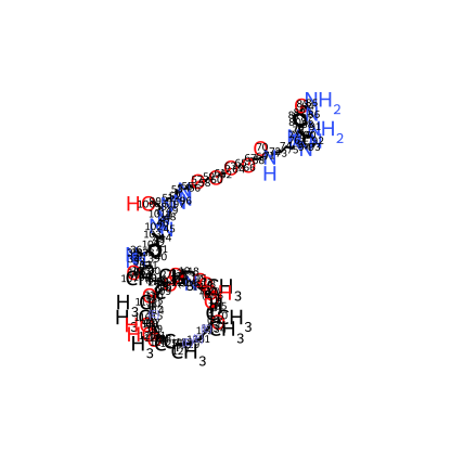 CO[C@H]1C[C@@H]2CC[C@@H](C)[C@@](O)(O2)C(=O)C(=O)N2CCCC[C@H]2C(=O)O[C@H]([C@H](C)C[C@@H]2CC[C@H](n3nncc3-c3cccc(-c4cnc(N5CCN(Cc6cn(CCOCCOCCOCCOCCC(=O)NCCCCn7nc(-c8ccc9oc(N)nc9c8)c8c(N)ncnc87)nn6)C(CO)C5)nc4)c3)[C@H](OC)C2)CC(=O)[C@H](C)/C=C(\C)[C@@H](O)[C@@H](O)C(=O)[C@H](C)C[C@H](C)/C=C/C=C/C=C/1C